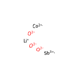 [Co+2].[Li+].[O-2].[O-2].[O-2].[Sb+3]